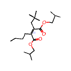 CCCC/C(C(=O)OCC(C)C)=C(\CC(C)(C)C)C(=O)OCC(C)C